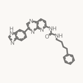 O=C(NCCCCc1ccccc1)Nc1ccc2ncc(-c3ccc4nc[nH]c4c3)nc2n1